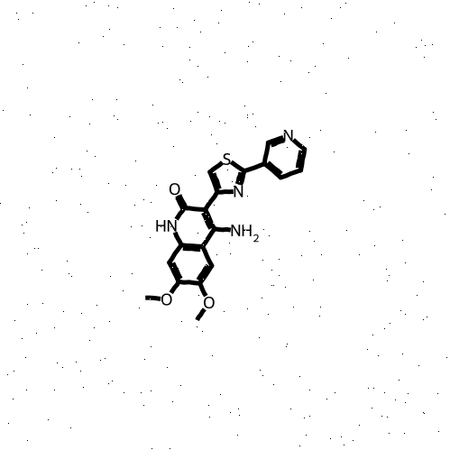 COc1cc2[nH]c(=O)c(-c3csc(-c4cccnc4)n3)c(N)c2cc1OC